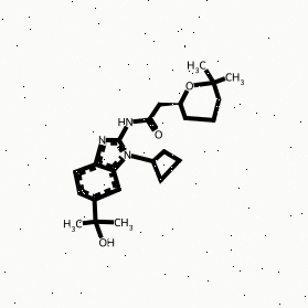 CC1(C)CCC[C@@H](CC(=O)Nc2nc3ccc(C(C)(C)O)cc3n2C2CCC2)O1